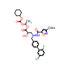 COc1cc(C(=O)NN(Cc2ccc(-c3cc(Cl)ccc3F)cc2)CC(O)C(=O)OC(C)OC(=O)OC2CCCCC2)on1